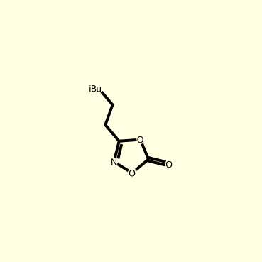 CCC(C)CCc1noc(=O)o1